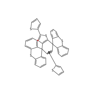 c1csc(-c2cc3c(s2)C2(c4ccccc4Sc4ccccc42)c2cc(-c4cccs4)sc2C32c3ccccc3Sc3ccccc32)c1